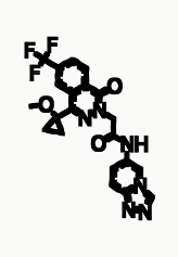 COC1(c2nn(CC(=O)Nc3ccc4nncn4c3)c(=O)c3ccc(C(F)(F)F)cc23)CC1